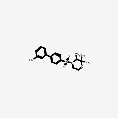 CC1(C)SCCN(S(=O)(=O)c2ccc(-c3cccc(C=O)c3)cc2)C1C(=O)O